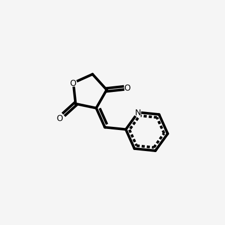 O=C1COC(=O)C1=Cc1ccccn1